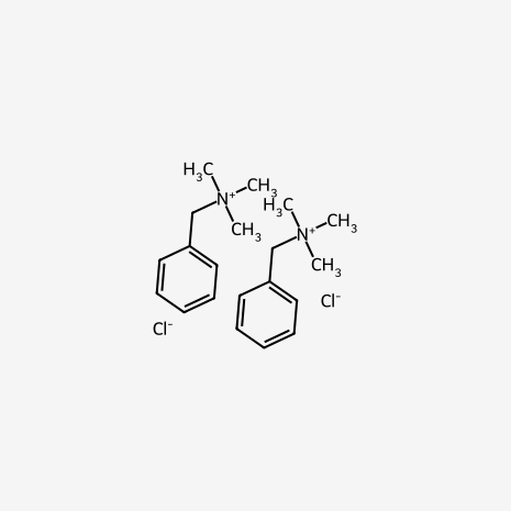 C[N+](C)(C)Cc1ccccc1.C[N+](C)(C)Cc1ccccc1.[Cl-].[Cl-]